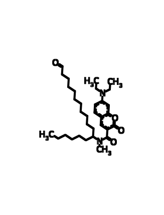 CCCCCCC(CCCCCCCCCCC=O)N(C)C(=O)c1cc2ccc(N(CC)CC)cc2oc1=O